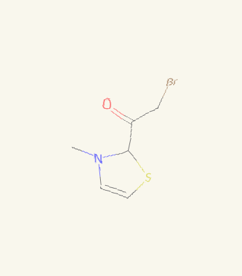 CN1C=CSC1C(=O)CBr